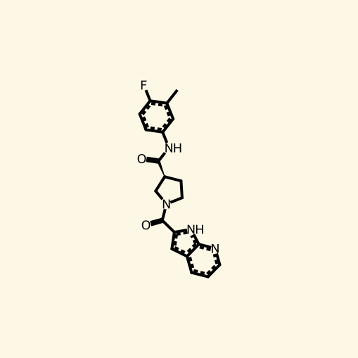 Cc1cc(NC(=O)[C@H]2CCN(C(=O)c3cc4cccnc4[nH]3)C2)ccc1F